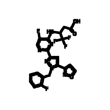 O=C(O)CC(Nc1nc(-c2cc(-c3ccon3)n(Cc3ccccc3F)n2)ncc1F)C(F)(F)F